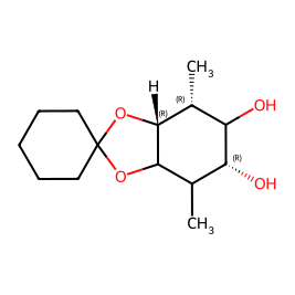 CC1C2OC3(CCCCC3)O[C@@H]2[C@H](C)C(O)[C@@H]1O